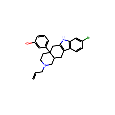 C=CCN1CCC2(c3cccc(O)c3)Cc3[nH]c4cc(Br)ccc4c3CC2C1